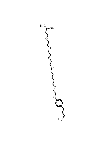 C=CCCc1ccc(OCCOCCOCCOCCOCCOCCOCCC(C)O)cc1